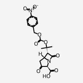 CC(C)(OC(=O)OCc1ccc([N+](=O)[O-])cc1)[C@@H]1C(=O)N2[C@@H](C(=O)O)C(=O)C[C@H]12